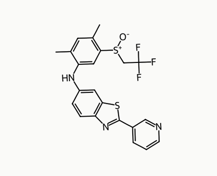 Cc1cc(C)c([S+]([O-])CC(F)(F)F)cc1Nc1ccc2nc(-c3cccnc3)sc2c1